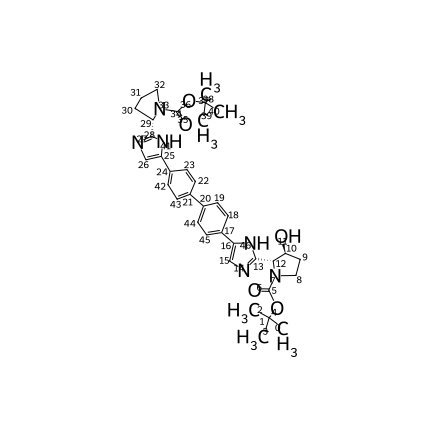 CC(C)(C)OC(=O)N1CC[C@H](O)[C@H]1c1ncc(-c2ccc(-c3ccc(-c4cnc([C@@H]5CCCN5C(=O)OC(C)(C)C)[nH]4)cc3)cc2)[nH]1